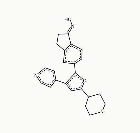 ON=C1CCc2cc(-c3oc(C4CC[N]CC4)cc3-c3ccncc3)ccc21